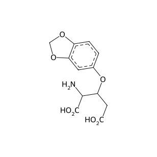 NC(C(=O)O)C(CC(=O)O)Oc1ccc2c(c1)OCO2